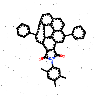 Cc1cc(C)c(-n2c(=O)c3c4cc(-c5ccccc5)c5ccc6ccc7c(-c8ccccc8)cc(c3c2=O)c2c7c6c5c42)cc1C